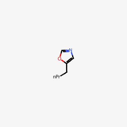 CCCCc1cnco1